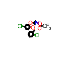 O=C(ON1CC(Oc2cc(Cl)ccc2OCc2ccccc2Cl)C1)C(F)(F)F